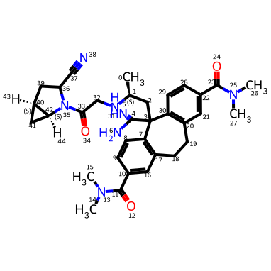 C[C@@H](CC1(C(=N)N)c2ccc(C(=O)N(C)C)cc2CCc2cc(C(=O)N(C)C)ccc21)NCC(=O)N1C(C#N)C[C@@H]2C[C@@H]21